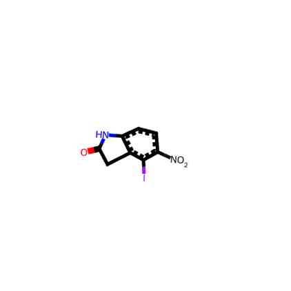 O=C1Cc2c(ccc([N+](=O)[O-])c2I)N1